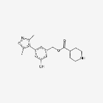 Cc1noc(C)c1-c1cc(O)cc(COC(=O)C2CCNCC2)c1